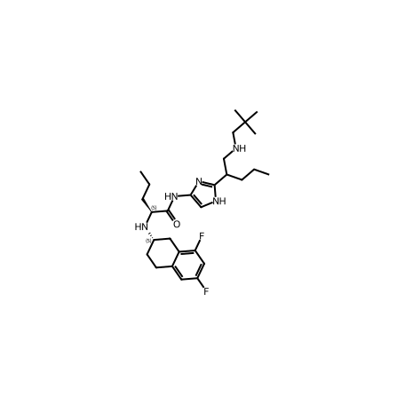 CCCC(CNCC(C)(C)C)c1nc(NC(=O)[C@H](CCC)N[C@H]2CCc3cc(F)cc(F)c3C2)c[nH]1